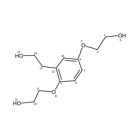 OCCOc1ccc(OCCO)c(CCO)c1